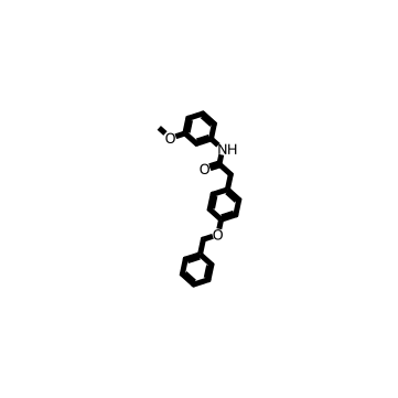 COc1cccc(NC(=O)Cc2ccc(OCc3ccccc3)cc2)c1